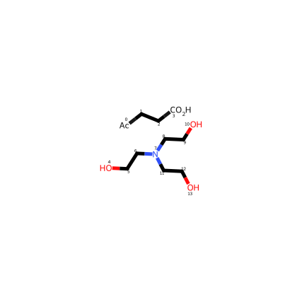 CC(=O)CCC(=O)O.OCCN(CCO)CCO